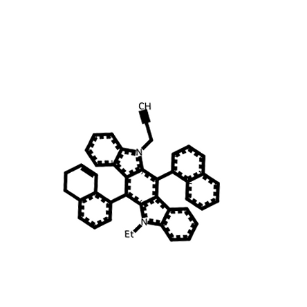 C#CCn1c2ccccc2c2c(-c3cccc4c3C=CCC4)c3c(c(-c4cccc5ccccc45)c21)c1ccccc1n3CC